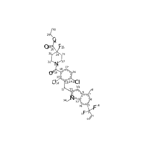 C=CC(F)(F)c1cc(C)c2cc(Cc3c(Cl)ccc(C(=O)N4CCC(F)(C(=O)OCC)CC4)c3Cl)n(C)c2c1